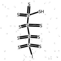 S=S(=S)(S)S(=S)(=S)S(=S)(=S)S(=S)(=S)I